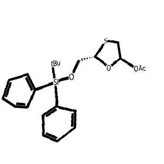 CC(=O)OC1CS[C@@H](CO[Si](c2ccccc2)(c2ccccc2)C(C)(C)C)O1